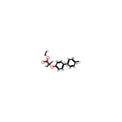 CCOC(=O)C(C)(C)Oc1ccc(-c2ccc(C)cc2)cc1